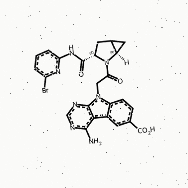 Nc1ncnc2c1c1cc(C(=O)O)ccc1n2CC(=O)N1[C@@H]2CC2C[C@H]1C(=O)Nc1cccc(Br)n1